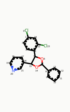 Clc1ccc(C2OC(c3ccccc3)OC2c2cccnc2)c(Cl)c1